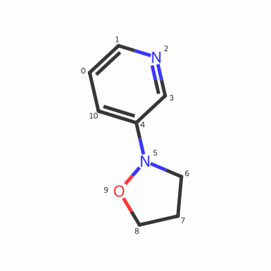 c1cncc(N2CCCO2)c1